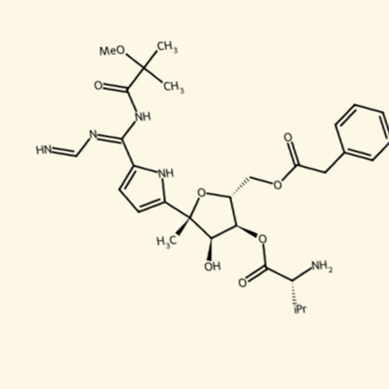 COC(C)(C)C(=O)N/C(=N/C=N)c1ccc([C@]2(C)O[C@H](COC(=O)Cc3ccccc3)[C@@H](OC(=O)[C@H](N)C(C)C)[C@H]2O)[nH]1